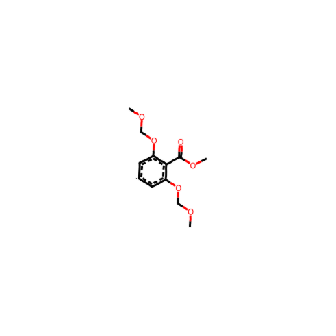 COCOc1c[c]cc(OCOC)c1C(=O)OC